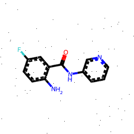 Nc1ccc(F)cc1C(=O)Nc1cccnc1